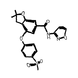 CC1(C)Cc2c(Oc3ccc(S(C)(=O)=O)cc3)cc(C(=O)Nc3ccon3)cc2O1